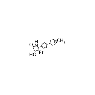 CCc1c(O)cc(=O)[nH]c1-c1ccc(C2CCN(C)CC2)cc1